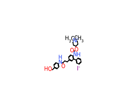 C[N+]1(C)CCC(OC(=O)Nc2ccc(CCC(=O)Nc3ccc(CO)cc3)cc2-c2ccccc2)CC1.[I-]